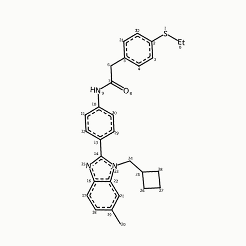 CCSc1ccc(CC(=O)Nc2ccc(-c3nc4ccc(C)cc4n3CC3CCC3)cc2)cc1